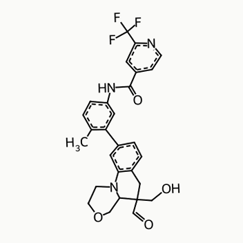 Cc1ccc(NC(=O)c2ccnc(C(F)(F)F)c2)cc1-c1ccc2c(c1)N1CCOCC1C(C=O)(CO)C2